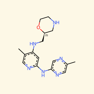 Cc1cnc(Nc2cc(NC[C@@H]3CNCCO3)c(C)cn2)cn1